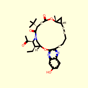 CC[C@@H]1[C@@H]2CN(C(=O)[C@H](C(C)(C)C)CC(=O)O[C@]3(C)C[C@H]3CCCCCc3nc4ccc(O)cc4nc3O2)[C@@H]1C(C)=O